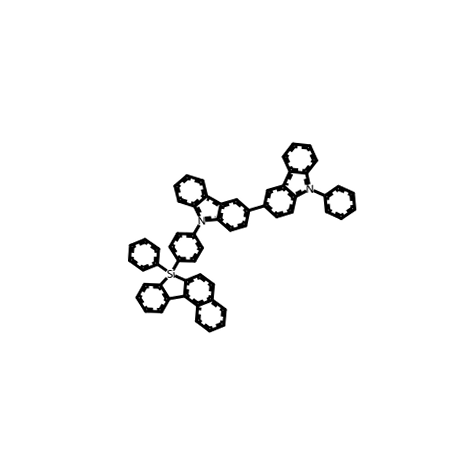 c1ccc(-n2c3ccccc3c3cc(-c4ccc5c(c4)c4ccccc4n5-c4ccc([Si]5(c6ccccc6)c6ccccc6-c6c5ccc5ccccc65)cc4)ccc32)cc1